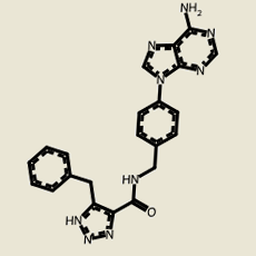 Nc1ncnc2c1ncn2-c1ccc(CNC(=O)c2nn[nH]c2Cc2ccccc2)cc1